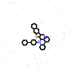 c1ccc(-c2ccc(N(c3ccccc3-c3ccccc3)c3cncc4c3sc3cc5ccccc5cc34)cc2)cc1